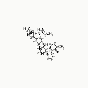 C=CC(=C)Nc1cc(Nc2cc(N3CCCC3c3cccc(C(F)(F)F)c3F)ncn2)c(CC)cc1-c1cnn(C)c1